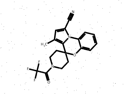 Cc1cc(C#N)n2c1C1(CCN(C(=O)C(F)(F)F)CC1)Oc1ccccc1-2